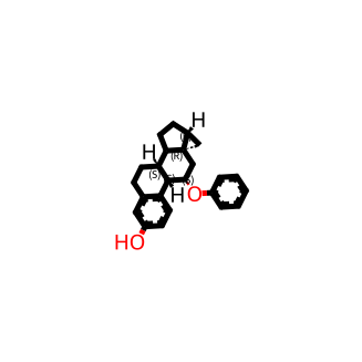 Oc1ccc2c(c1)CC[C@H]1C3CC[C@@H]4C[C@]34C[C@H](Oc3ccccc3)[C@H]21